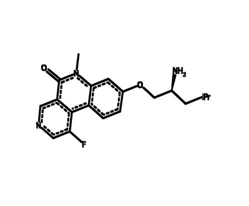 CC(C)C[C@H](N)COc1ccc2c3c(F)cncc3c(=O)n(C)c2c1